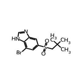 CC(C)(C)CS(=O)(=O)c1cc(Br)c2[nH]cnc2c1